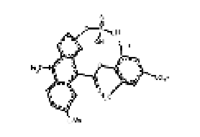 COc1ccc2c(c1)c(C(=O)Oc1c(C)cc(C(=O)O)cc1C)c1cc(OP(=O)(O)O)ccc1[n+]2C